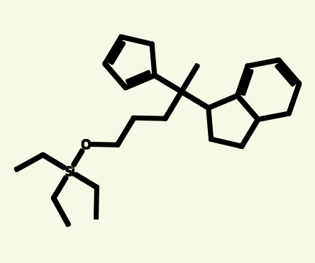 CC[Si](CC)(CC)OCCCC(C)(C1=CC=CC1)C1CCC2CC=CC=C21